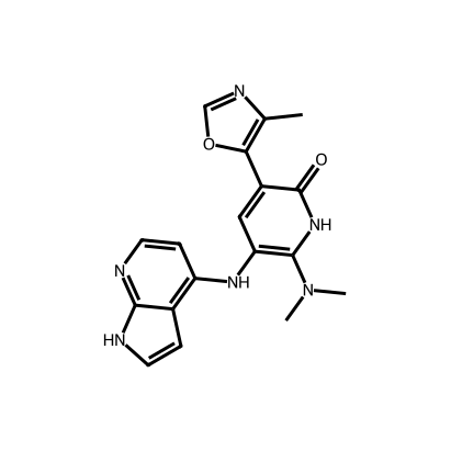 Cc1ncoc1-c1cc(Nc2ccnc3[nH]ccc23)c(N(C)C)[nH]c1=O